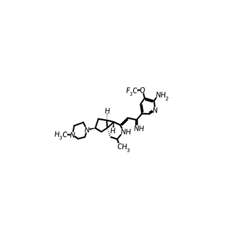 CC1C[C@]23C[C@@H](N4CCN(C)CC4)C[C@H]2[C@@H]3/C(=C/C(=N)c2cnc(N)c(OC(F)(F)F)c2)N1